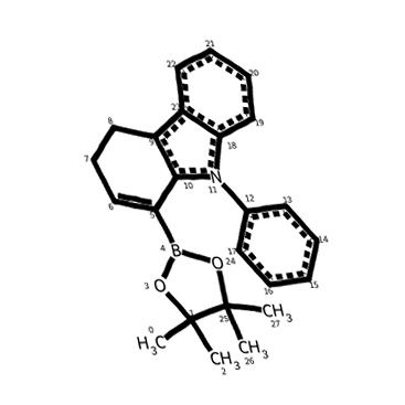 CC1(C)OB(C2=CCCc3c2n(-c2ccccc2)c2ccccc32)OC1(C)C